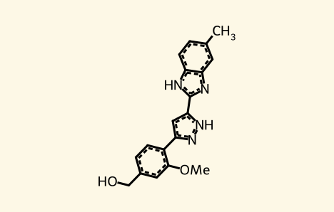 COc1cc(CO)ccc1-c1cc(-c2nc3cc(C)ccc3[nH]2)[nH]n1